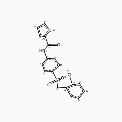 O=C(Nc1ccc(S(=O)(=O)Cc2ccccc2Cl)cc1)c1ccco1